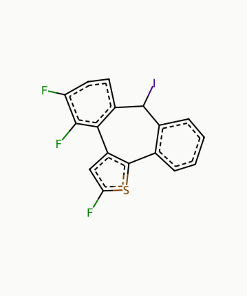 Fc1cc2c(s1)-c1ccccc1C(I)c1ccc(F)c(F)c1-2